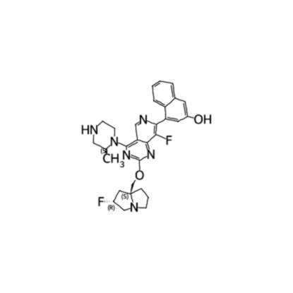 C[C@H]1CNCCN1c1nc(OC[C@@]23CCCN2C[C@H](F)C3)nc2c(F)c(-c3cc(O)cc4ccccc34)ncc12